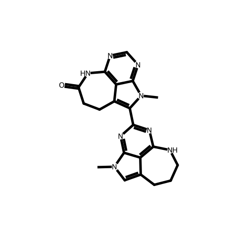 Cn1cc2c3c(nc(-c4c5c6c(ncnc6n4C)NC(=O)CC5)nc31)NCCC2